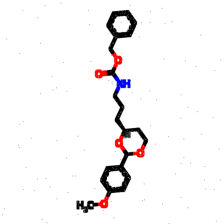 COc1ccc(C2OCC[C@H](CCCNC(=O)OCc3ccccc3)O2)cc1